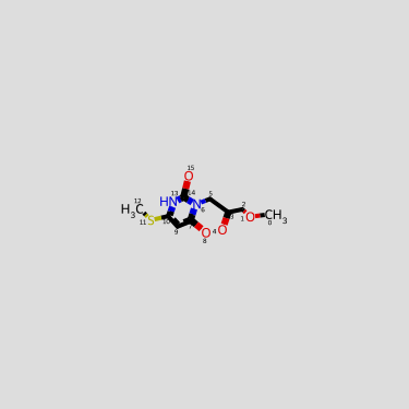 COCC(=O)Cn1c(=O)cc(SC)[nH]c1=O